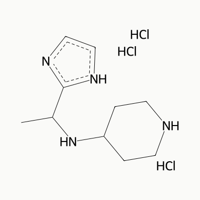 CC(NC1CCNCC1)c1ncc[nH]1.Cl.Cl.Cl